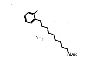 CCCCCCCCCCCCCCCCCCCc1ccccc1C.N